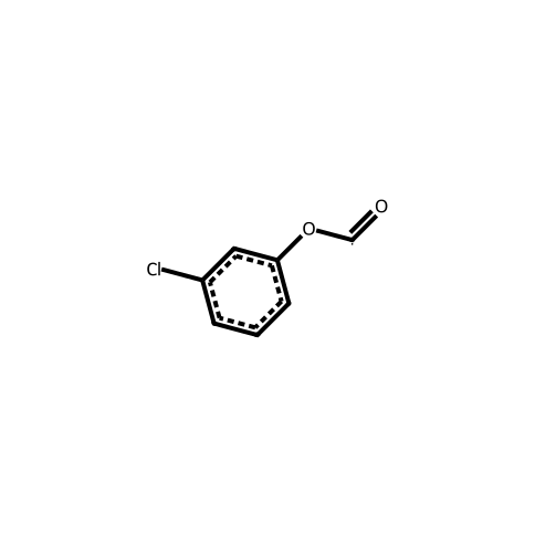 O=[C]Oc1cccc(Cl)c1